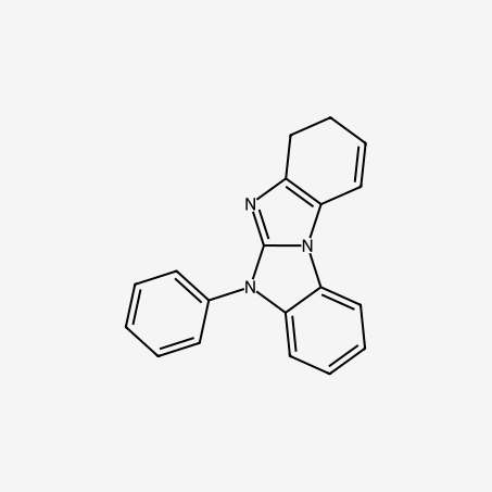 C1=Cc2c(nc3n(-c4ccccc4)c4ccccc4n23)CC1